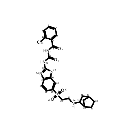 O=C(NC(=O)c1ccccc1Cl)Nc1nc2ccc(S(=O)(=O)CCNC3CC4CCC3C4)cc2s1